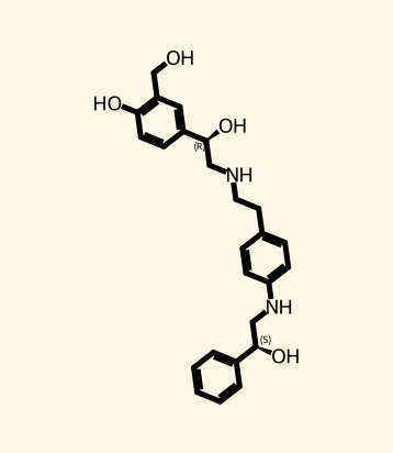 OCc1cc([C@@H](O)CNCCc2ccc(NC[C@@H](O)c3ccccc3)cc2)ccc1O